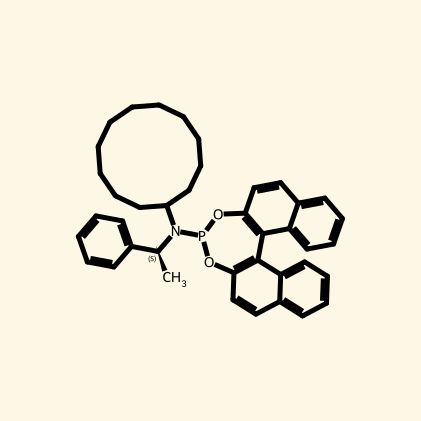 C[C@@H](c1ccccc1)N(C1CCCCCCCCCCC1)p1oc2ccc3ccccc3c2c2c(ccc3ccccc32)o1